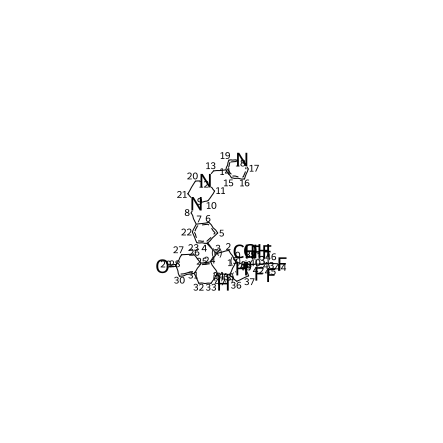 C[C@]12C[C@H](c3ccc(CN4CCN(Cc5cccnc5)CC4)cc3)C3=C4CCC(=O)C=C4CC[C@H]3[C@@H]1CC[C@]2(O)C(F)(F)C(F)(F)F